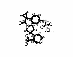 CS(=O)(=O)Nc1ccc(C2(C(=O)N3CCC4(C3)OC(=O)c3cnccc34)CC2)cc1